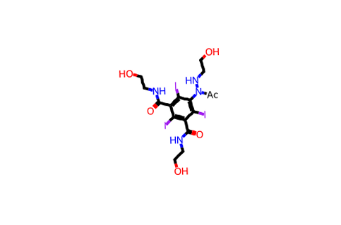 CC(=O)N(NCCO)c1c(I)c(C(=O)NCCO)c(I)c(C(=O)NCCO)c1I